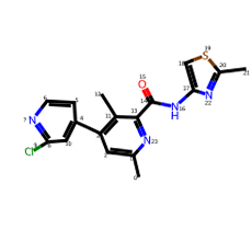 Cc1cc(-c2ccnc(Cl)c2)c(C)c(C(=O)Nc2csc(C)n2)n1